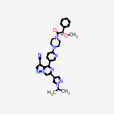 CO[C@@H](C(=O)N1CCN(c2ccc(-c3nc(-c4cnn(C(C)C)c4)cn4ncc(C#N)c34)cn2)CC1)c1ccccc1